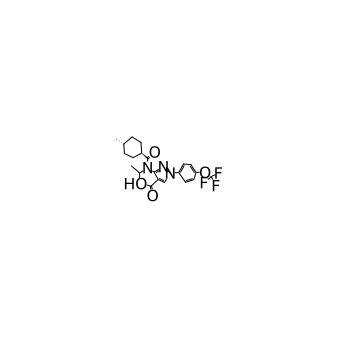 CC(C)N(c1nn(-c2ccc(OC(F)(F)F)cc2)cc1C(=O)O)C(=O)[C@H]1CC[C@H](C)CC1